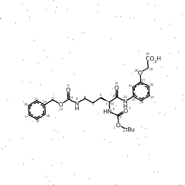 CC(C)(C)OC(=O)N[C@@H](CCCNC(=O)OCc1ccccc1)C(=O)Nc1cccc(OCC(=O)O)c1